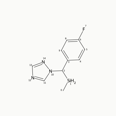 C[SiH2]C(c1ccc(F)cc1)n1cncn1